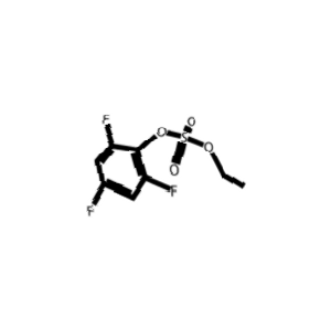 CCOS(=O)(=O)Oc1c(F)cc(F)cc1F